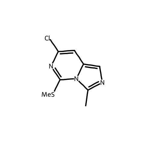 CSc1nc(Cl)cc2cnc(C)n12